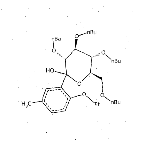 CCCCOC[C@H]1OC(O)(c2cc(C)ccc2OCC)[C@H](OCCCC)[C@@H](OCCCC)[C@@H]1OCCCC